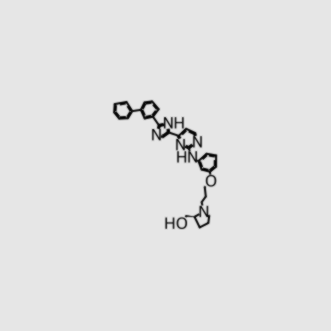 OC[C@@H]1CCCN1CCCOc1cccc(Nc2nccc(-c3cnc(-c4cccc(-c5ccccc5)c4)[nH]3)n2)c1